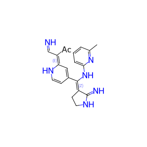 CC(=O)/C(C=N)=C1C=C(/C(Nc2cccc(C)n2)=C2\CCNC2=N)C=CN\1